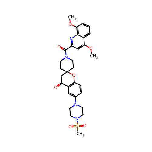 COc1cc(C(=O)N2CCC3(CC2)CC(=O)c2cc(N4CCN(S(C)(=O)=O)CC4)ccc2O3)nc2c(OC)cccc12